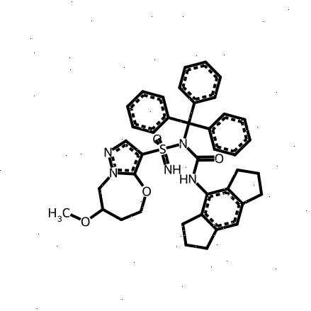 COC1CCOc2c(S(=N)(=O)N(C(=O)Nc3c4c(cc5c3CCC5)CCC4)C(c3ccccc3)(c3ccccc3)c3ccccc3)cnn2C1